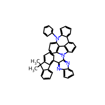 CC1(C)c2ccccc2-c2c(-c3nc4ccccc4nc3-n3c4cccc5c6ccccc6n(-c6ccccc6)c6cccc3c6c54)cccc21